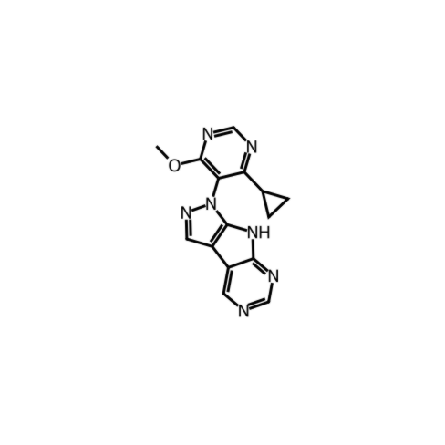 COc1ncnc(C2CC2)c1-n1ncc2c3cncnc3[nH]c21